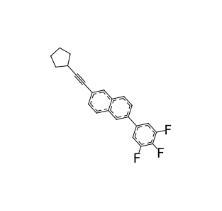 Fc1cc(-c2ccc3cc(C#CC4CCCC4)ccc3c2)cc(F)c1F